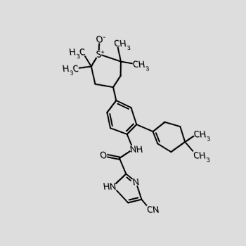 CC1(C)CC=C(c2cc(C3CC(C)(C)[S+]([O-])C(C)(C)C3)ccc2NC(=O)c2nc(C#N)c[nH]2)CC1